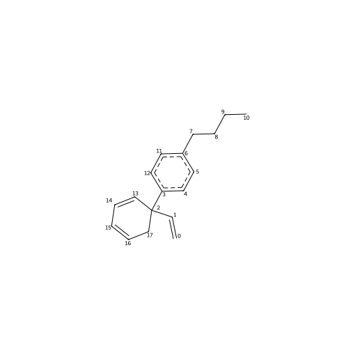 C=CC1(c2ccc(CCCC)cc2)C=CC=CC1